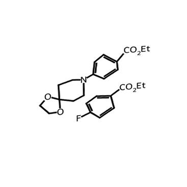 CCOC(=O)c1ccc(F)cc1.CCOC(=O)c1ccc(N2CCC3(CC2)OCCO3)cc1